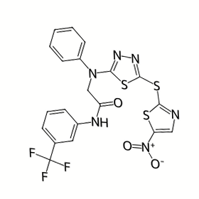 O=C(CN(c1ccccc1)c1nnc(Sc2ncc([N+](=O)[O-])s2)s1)Nc1cccc(C(F)(F)F)c1